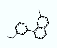 CCc1ccnc(-c2cccc3ccc(N)nc23)c1